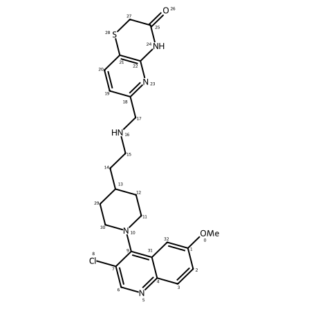 COc1ccc2ncc(Cl)c(N3CCC(CCNCc4ccc5c(n4)NC(=O)CS5)CC3)c2c1